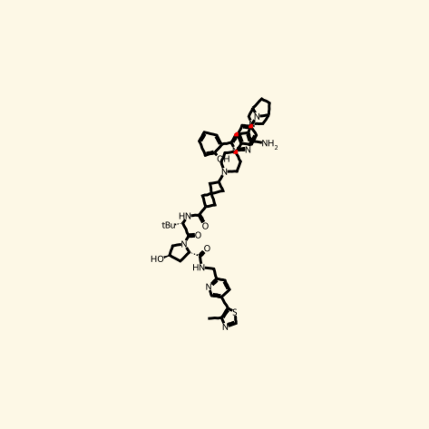 Cc1ncsc1-c1ccc(CNC(=O)[C@@H]2C[C@@H](O)CN2C(=O)[C@@H](NC(=O)C2CC3(C2)CC(N2CCC(c4ccc(N5C6CCC5CN(c5cc(-c7ccccc7O)nnc5N)C6)cc4)CC2)C3)C(C)(C)C)nc1